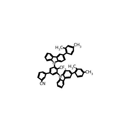 Cc1ccc(-c2ccc3c(c2)c2ccccc2n3-c2cc(-c3cccc(C#N)c3)cc(-n3c4ccccc4c4cc(-c5ccc(C)cc5C)ccc43)c2C(F)(F)F)c(C)c1